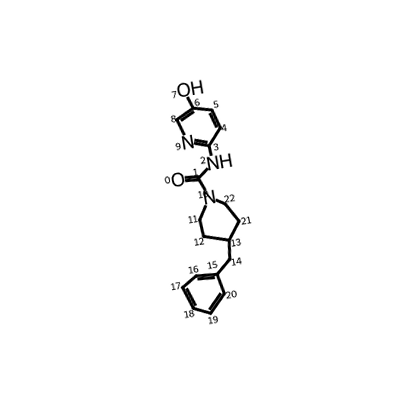 O=C(Nc1ccc(O)cn1)N1CCC(Cc2ccccc2)CC1